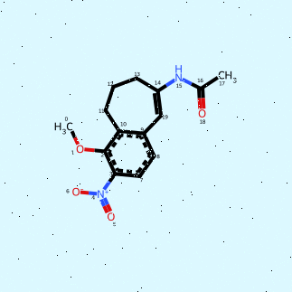 COc1c([N+](=O)[O-])ccc2c1CCCC(NC(C)=O)=C2